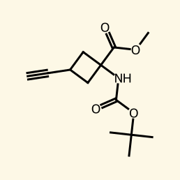 C#CC1CC(NC(=O)OC(C)(C)C)(C(=O)OC)C1